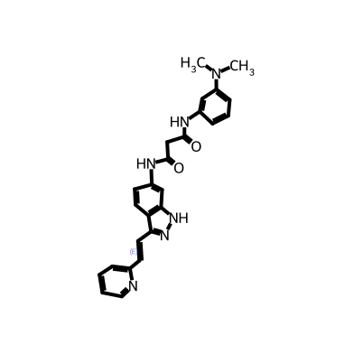 CN(C)c1cccc(NC(=O)CC(=O)Nc2ccc3c(/C=C/c4ccccn4)n[nH]c3c2)c1